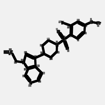 CC(C)Oc1ccc(S(=O)(=O)N2CCC(c3cn(CC(=O)O)c4cnccc34)CC2)c(F)c1